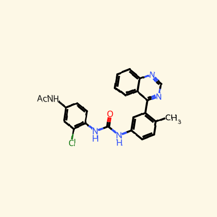 CC(=O)Nc1ccc(NC(=O)Nc2ccc(C)c(-c3ncnc4ccccc34)c2)c(Cl)c1